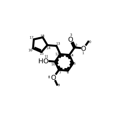 COC(=O)c1ccc(OC)c(O)c1CC1C=CCC1